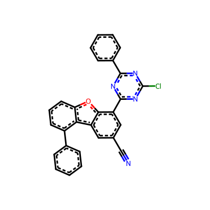 N#Cc1cc(-c2nc(Cl)nc(-c3ccccc3)n2)c2oc3cccc(-c4ccccc4)c3c2c1